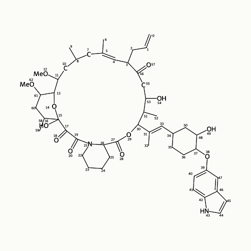 C=CCC1/C=C(\C)CC(C)CC(OC)C2OC(O)(C(=O)C(=O)N3CCCCC3C(=O)OC(C(C)=CC3CCC(Oc4ccc5[nH]ccc5c4)C(O)C3)C(C)C(O)CC1=O)C(C)CC2OC